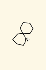 C1CCC2(CC1)CCCC[N]2